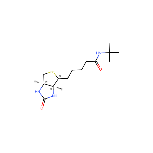 CC(C)(C)NC(=O)CCCC[C@@H]1SC[C@@H]2NC(=O)N[C@@H]21